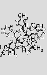 Cc1ccc(N(c2cc(-c3ccccc3)cc(N(c3ccc(C(C)(C)C)cc3)c3ccc(C(C)(C)C)cc3)c2)c2ccc3c(c2)C(C)(C)c2ccccc2-3)cc1